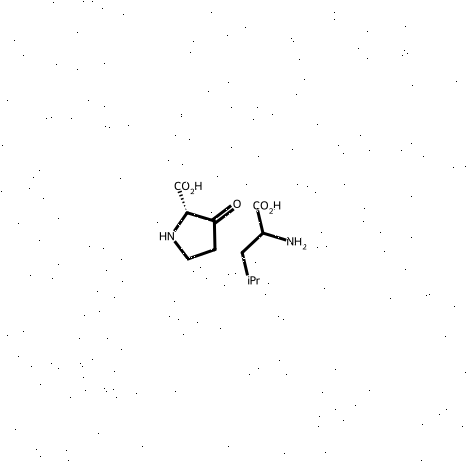 CC(C)CC(N)C(=O)O.O=C(O)[C@H]1NCCC1=O